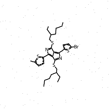 CCCCC(CC)CSC1=NC(c2ccc(Br)s2)=C2C(SCC(CC)CCCC)=NC(c3ccc(C)s3)=C12